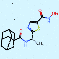 C[C@H](NC(=O)C12CC3CC(CC(C3)C1)C2)c1ncc(C(=O)NO)s1